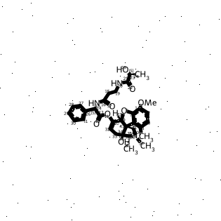 COc1ccc(C)c2c1O[C@H]1C(OC(=O)[C@@H](NC(=O)CCNC(=O)[C@H](C)O)c3ccccc3)=CC[C@@]3(O)[C@@H](C)N(C)CC[C@]213